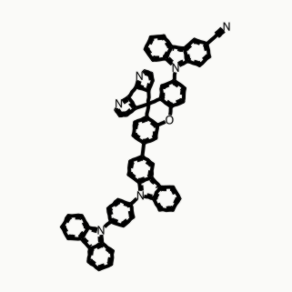 N#Cc1ccc2c(c1)c1ccccc1n2-c1ccc2c(c1)C1(c3ccc(-c4ccc5c(c4)c4ccccc4n5-c4ccc(-n5c6ccccc6c6ccccc65)cc4)cc3O2)c2cccnc2-c2ncccc21